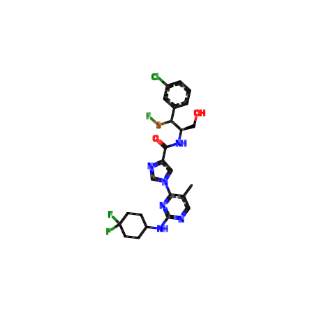 Cc1cnc(NC2CCC(F)(F)CC2)nc1-n1cnc(C(=O)N[C@H](CO)C(SF)c2cccc(Cl)c2)c1